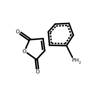 O=C1C=CC(=O)O1.Pc1ccccc1